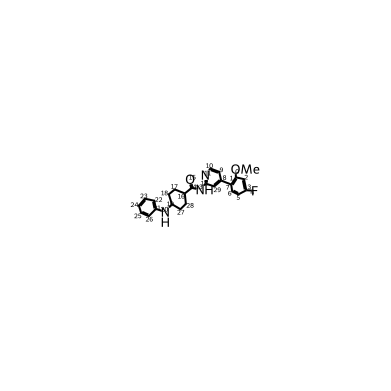 COc1cc(F)ccc1-c1ccnc(NC(=O)C2CCC(Nc3ccccc3)CC2)c1